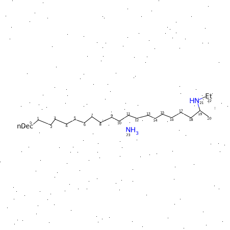 CCCCCCCCCCCCCCCCCCCCCCCCCCCCC(C)NCC.N